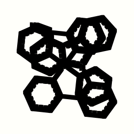 N#Cc1ccccc1[Si](c1ccccc1)(c1ccccc1)c1ccccc1-c1ccccc1-n1c2ccccc2c2ccccc21